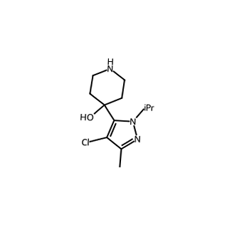 Cc1nn(C(C)C)c(C2(O)CCNCC2)c1Cl